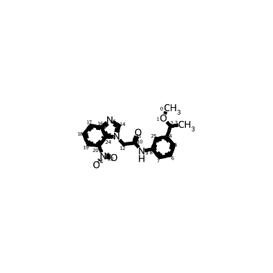 COC(C)c1cccc(NC(=O)Cn2cnc3cccc([N+](=O)[O-])c32)c1